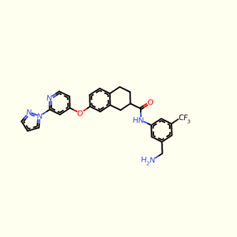 NCc1cc(NC(=O)C2CCc3ccc(Oc4ccnc(-n5cccn5)c4)cc3C2)cc(C(F)(F)F)c1